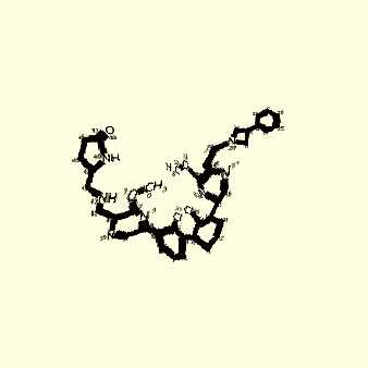 COc1nc(-c2cccc(-c3cccc(-c4cnc(CN5CC(c6ccccc6)C5)c(OC)n4)c3Cl)c2Cl)cnc1CNCC1CCC(=O)N1